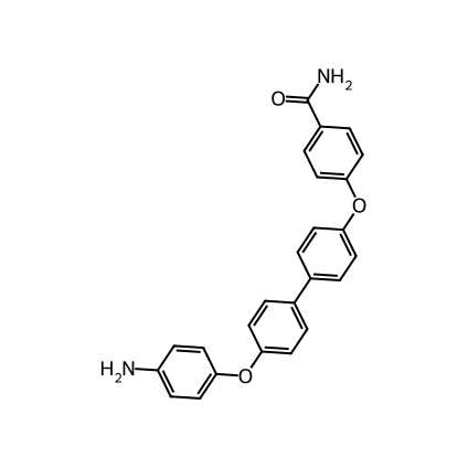 NC(=O)c1ccc(Oc2ccc(-c3ccc(Oc4ccc(N)cc4)cc3)cc2)cc1